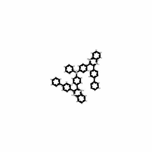 c1ccc(-c2ccc(-c3nc4ccccc4nc3-c3ccc(N(c4ccccc4)c4ccc(-c5nc6ccccc6nc5-c5ccc(-c6ccccc6)cc5)cc4)cc3)cc2)cc1